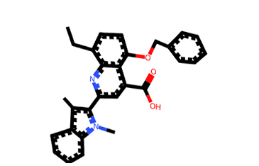 CCc1ccc(OCc2ccccc2)c2c(C(=O)O)cc(-c3c(C)c4ccccc4n3C)nc12